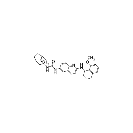 COc1cccc2c1C(Nc1ccc3cc(NC(=O)NC4CC5CCC(C4)N5C)ccc3n1)CCC2